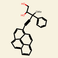 COC(C#Cc1ccc2ccc3cccc4ccc1c2c34)(c1ccccc1)C(O)CO